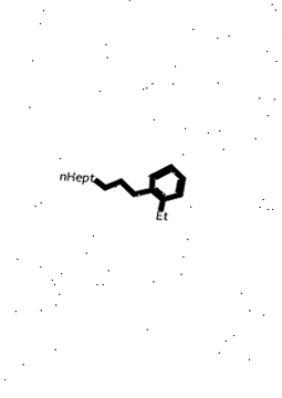 CCCCCCCCCCc1[c]cccc1CC